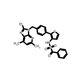 CCc1nc2c(C)cc(C)nc2n1Cc1ccc(-c2sccc2NS(=O)(=O)C(=O)c2ccccc2)cc1